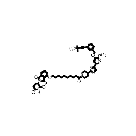 CC(C)(O)C#Cc1cccc(COc2cc(-c3cnc(C4CCN(C(=O)CCCCCCCCCOc5cccc6c5C(=O)N(C5CCC(=O)NC5=O)C6=O)CC4)s3)cnc2N)c1